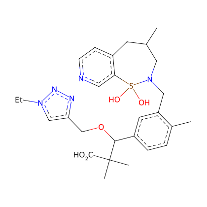 CCn1cc(COC(c2ccc(C)c(CN3CC(C)Cc4ccncc4S3(O)O)c2)C(C)(C)C(=O)O)nn1